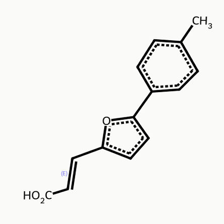 Cc1ccc(-c2ccc(/C=C/C(=O)O)o2)cc1